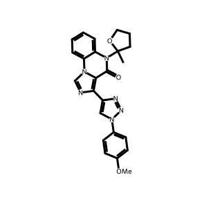 COc1ccc(-n2cc(-c3ncn4c3c(=O)n(C3(C)CCCO3)c3ccccc34)nn2)cc1